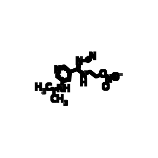 CC(C)Nc1cncc(C(=NC#N)NCCO[N+](=O)[O-])c1